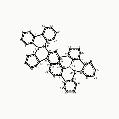 c1ccc2c(c1)B1c3ccccc3-c3ccc(-c4cccc5c4N4B(c6ccccc6-c6ccccc64)c4ccccc4-5)cc3N1c1ccccc1-2